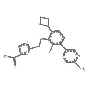 Nc1cnc(-c2ccc(C3CCC3)c(OCc3nc(C(=O)O)co3)c2F)cn1